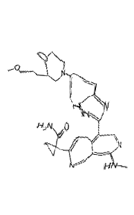 CNc1ncc(-c2nc3ccc(N4CCOC(COC)C4)cn3n2)c2cc(C3(C(N)=O)CC3)ncc12